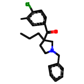 CCCC1(C(=O)c2ccc(Cl)c(C)c2)CCN(Cc2ccccc2)C1